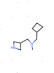 CN(CC1CCC1)CC1CNC1